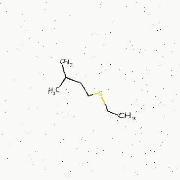 C[CH]SCCC(C)C